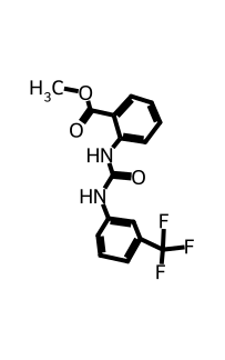 COC(=O)c1ccccc1NC(=O)Nc1cccc(C(F)(F)F)c1